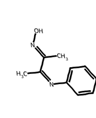 CC(=Nc1ccccc1)/C(C)=N/O